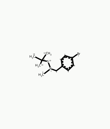 CN(Cc1ccc(Br)cc1)SC(C)(C)C